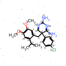 COc1cc(CC2(c3ccc(Cl)cc3)C=NC(N)N=C2N)c(C(C)C)cc1OC